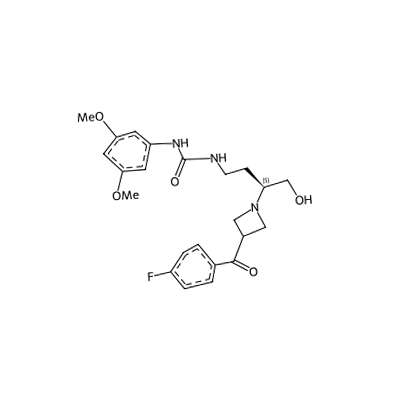 COc1cc(NC(=O)NCC[C@@H](CO)N2CC(C(=O)c3ccc(F)cc3)C2)cc(OC)c1